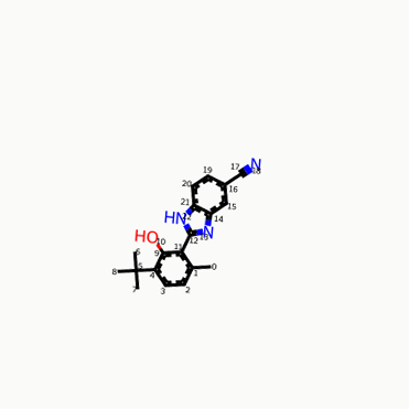 Cc1ccc(C(C)(C)C)c(O)c1-c1nc2cc(C#N)ccc2[nH]1